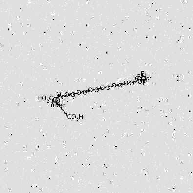 CCCCCCCCCCCN(C(=O)CCCCCCCCCC(=O)O)C(CCC(=O)NCCOCCOCCOCCOCCOCCOCCOCCOCCOCCOCCOCCOCCC(=O)Oc1c(F)c(F)c(F)c(F)c1F)C(=O)O